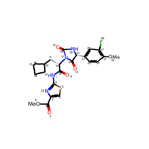 COC(=O)c1csc(NC(=O)[C@H](CC2CCCC2)N2C(=O)N[C@H](c3ccc(OC)c(F)c3)C2=O)n1